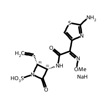 C=C[C@@H]1[C@H](NC(=O)C(=NOC)c2csc(N)n2)C(=O)N1S(=O)(=O)O.[NaH]